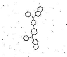 C1=CC(c2ccc(N(c3ccccc3)c3ccc4ccccc4c3)cc2)C=CC(N(C2=CC3CCC=CC3C=C2)c2ccccc2)=C1